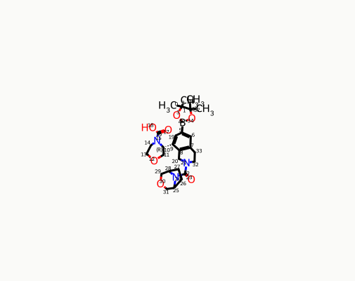 CC1(C)OB(c2cc3c(c([C@@H]4COCCN4C(=O)O)c2)CN(C(=O)N2C4CCC2COC4)CC3)OC1(C)C